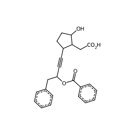 O=C(O)CC1C(O)CCC1C#CC(Cc1ccccc1)OC(=O)c1ccccc1